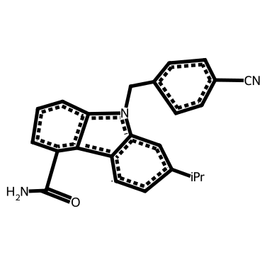 CC(C)c1c[c]c2c3c(C(N)=O)cccc3n(Cc3ccc(C#N)cc3)c2c1